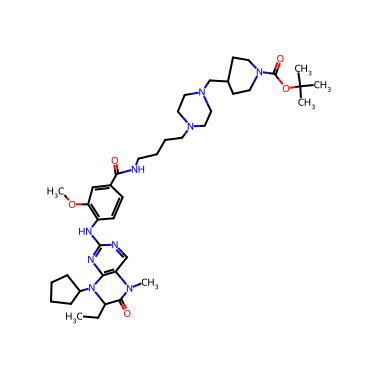 CCC1C(=O)N(C)c2cnc(Nc3ccc(C(=O)NCCCCN4CCN(CC5CCN(C(=O)OC(C)(C)C)CC5)CC4)cc3OC)nc2N1C1CCCC1